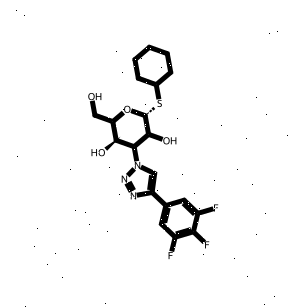 OCC1O[C@H](SC2CCCCC2)C(O)C(n2cc(-c3cc(F)c(F)c(F)c3)nn2)[C@H]1O